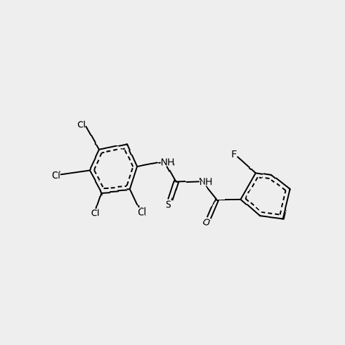 O=C(NC(=S)Nc1cc(Cl)c(Cl)c(Cl)c1Cl)c1ccccc1F